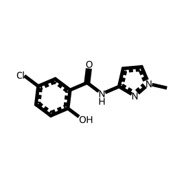 Cn1ccc(NC(=O)c2cc(Cl)ccc2O)n1